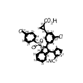 N#Cc1sccc1-c1c(-c2cc(Cl)cc(C3CC3C(=O)O)c2)n(S(=O)(=O)c2ccc(Cl)cc2)c2ccccc12